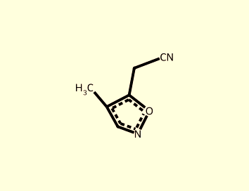 Cc1cnoc1CC#N